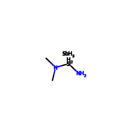 CN(C)[SiH2]N.[SbH3]